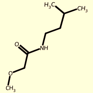 COCC(=O)NCCC(C)C